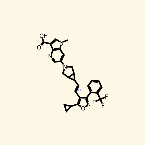 Cn1cc(C(=O)O)c2ncc(N3CC4C(/C=C/c5c(-c6ccccc6C(F)(F)F)noc5C5CC5)C4C3)cc21